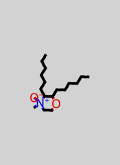 CCCCCCC1OCC[N+](C)([O-])C1CCCCCC